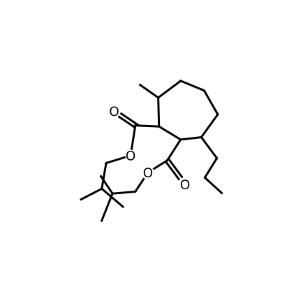 CCCC1CCCC(C)C(C(=O)OCC(C)C)C1C(=O)OCC(C)C